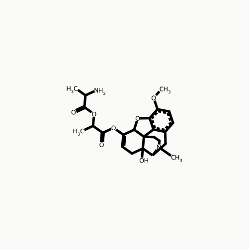 COc1ccc2c3c1OC1C(OC(=O)C(C)OC(=O)C(C)N)=CCC4(O)C(C2)N(C)CCC314